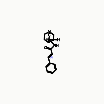 O=C(/C=C/c1ccccc1)N[C@H]1CN2CCC1CC2